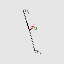 CCCCCCCCCCCCCCC(CCCCCCCCCCCC)COC(=O)Cl